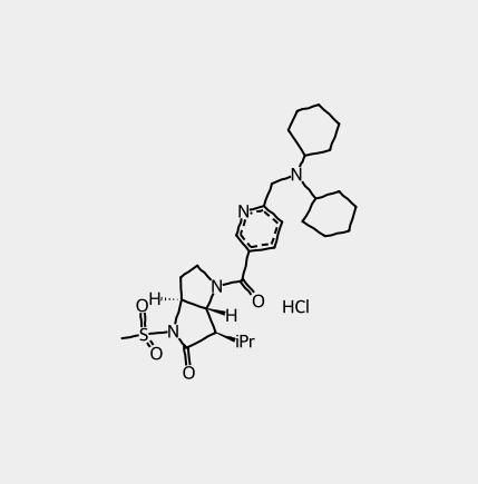 CC(C)[C@H]1C(=O)N(S(C)(=O)=O)[C@H]2CCN(C(=O)c3ccc(CN(C4CCCCC4)C4CCCCC4)nc3)[C@H]12.Cl